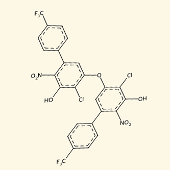 O=[N+]([O-])c1c(-c2ccc(C(F)(F)F)cc2)cc(Oc2cc(-c3ccc(C(F)(F)F)cc3)c([N+](=O)[O-])c(O)c2Cl)c(Cl)c1O